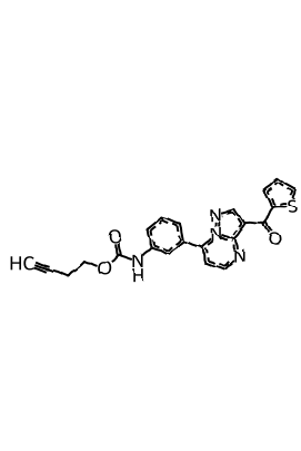 C#CCCOC(=O)Nc1cccc(-c2ccnc3c(C(=O)c4cccs4)cnn23)c1